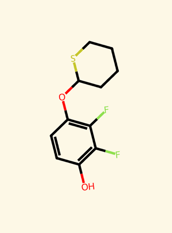 Oc1ccc(OC2CCCCS2)c(F)c1F